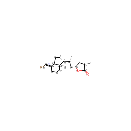 C[C@H](C[C@H]1C[C@H](C)C(=O)O1)[C@H]1CCC2/C(=C/Br)CCC[C@@]21C